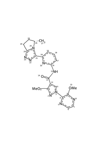 COc1nn(-c2nccnc2OC)cc1C(=O)Nc1cccc(-c2nnc3n2[C@@H](C)CC3)n1